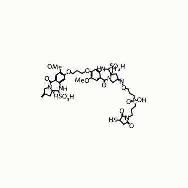 C=C1C[C@H]2C(S(=O)(=O)O)Nc3cc(OCCCOc4cc5c(cc4OC)C(=O)N4C/C(=N\OCCCP(=O)(O)CCCN6C(=O)CC(S)C6=O)C[C@H]4C(S(=O)(=O)O)N5)c(OC)cc3C(=O)N2C1